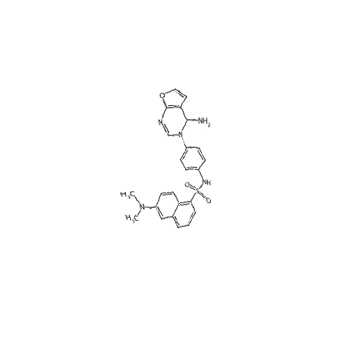 CN(C)c1ccc2c(S(=O)(=O)Nc3ccc(N4C=Nc5occc5C4N)cc3)cccc2c1